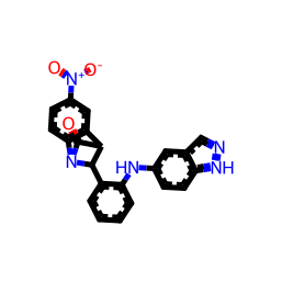 O=C1C2c3cc([N+](=O)[O-])ccc3N1C2c1ccccc1Nc1ccc2[nH]ncc2c1